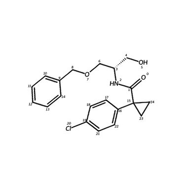 O=C(N[C@@H](CO)COCc1ccccc1)C1(c2ccc(Cl)cc2)CC1